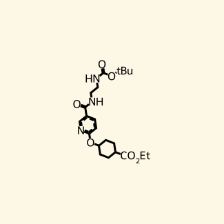 CCOC(=O)C1CCC(Oc2ccc(C(=O)NCCNC(=O)OC(C)(C)C)cn2)CC1